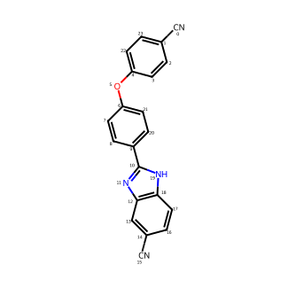 N#Cc1ccc(Oc2ccc(-c3nc4cc(C#N)ccc4[nH]3)cc2)cc1